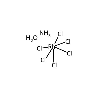 N.O.[Cl][Rh]([Cl])([Cl])([Cl])([Cl])[Cl]